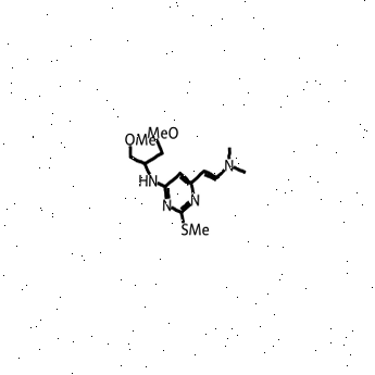 COCC(COC)Nc1cc(C=CN(C)C)nc(SC)n1